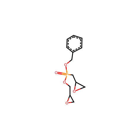 O=P(CC1CO1)(OCc1ccccc1)OCC1CO1